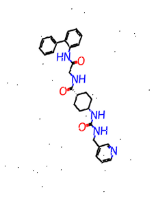 O=C(CNC(=O)[C@H]1CC[C@H](NC(=O)NCc2cccnc2)CC1)Nc1ccccc1-c1ccccc1